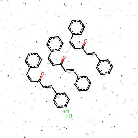 Cl.Cl.O=C(/C=C\c1ccccc1)/C=C/c1ccccc1.O=C(/C=C\c1ccccc1)/C=C/c1ccccc1.O=C(/C=C\c1ccccc1)/C=C/c1ccccc1